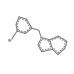 Brc1cccc(Cn2ccc3ccccc32)c1